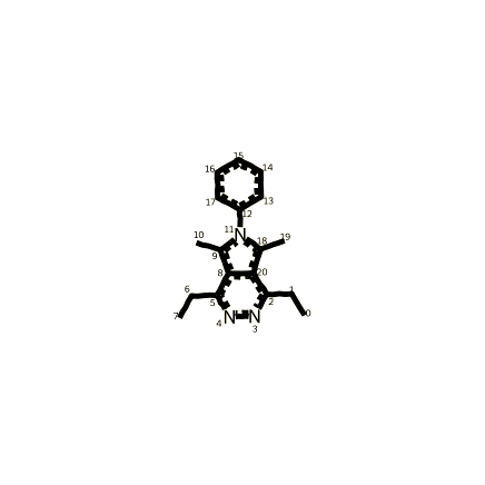 CCc1nnc(CC)c2c(C)n(-c3ccccc3)c(C)c12